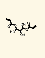 C=CC(=O)OC(O)C(O)C(O)OC(=O)C=C